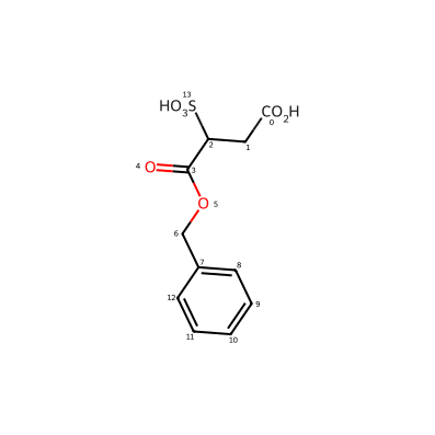 O=C(O)CC(C(=O)OCc1ccccc1)S(=O)(=O)O